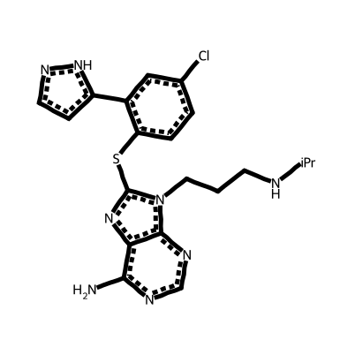 CC(C)NCCCn1c(Sc2ccc(Cl)cc2-c2ccn[nH]2)nc2c(N)ncnc21